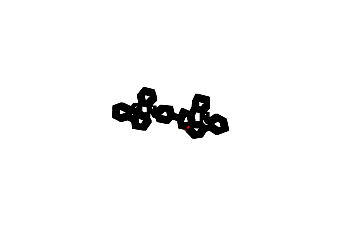 c1ccc(N(c2ccc(-c3cccc(-c4ccccc4-n4c5ccccc5c5ccccc54)c3)cc2)c2cccc3c2oc2ccccc23)cc1